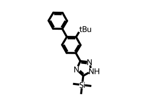 CC(C)(C)c1cc(-c2n[nH]c([Si](C)(C)C)n2)ccc1-c1ccccc1